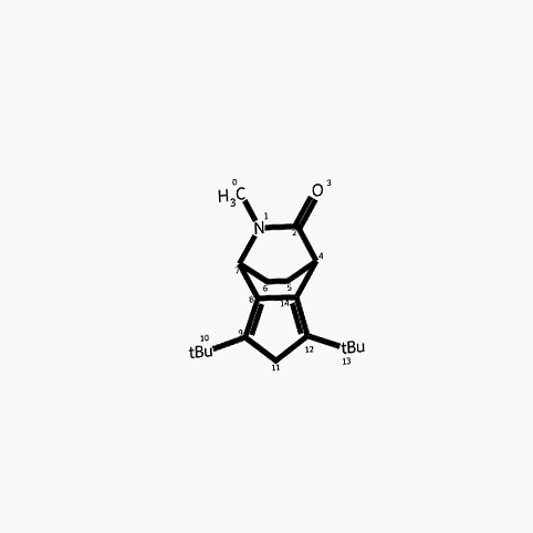 CN1C(=O)C2CCC1C1=C(C(C)(C)C)CC(C(C)(C)C)=C12